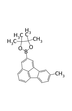 Cc1ccc2c(c1)-c1cc(B3OC(C)(C)C(C)(C)O3)cc3cccc-2c13